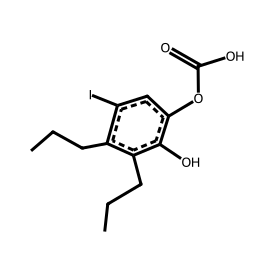 CCCc1c(I)cc(OC(=O)O)c(O)c1CCC